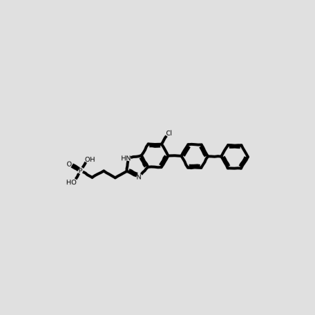 O=P(O)(O)CCCc1nc2cc(-c3ccc(-c4ccccc4)cc3)c(Cl)cc2[nH]1